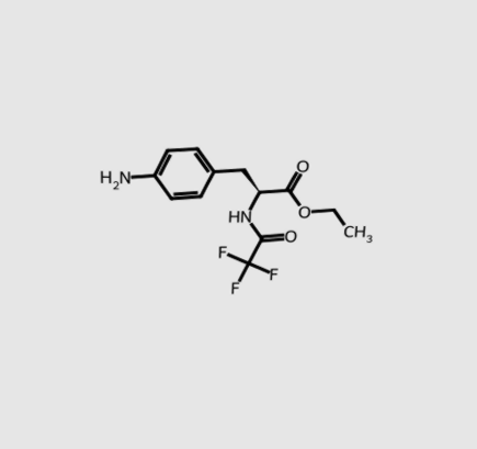 CCOC(=O)[C@H](Cc1ccc(N)cc1)NC(=O)C(F)(F)F